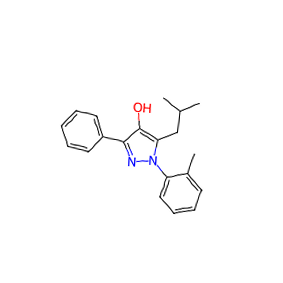 Cc1ccccc1-n1nc(-c2ccccc2)c(O)c1CC(C)C